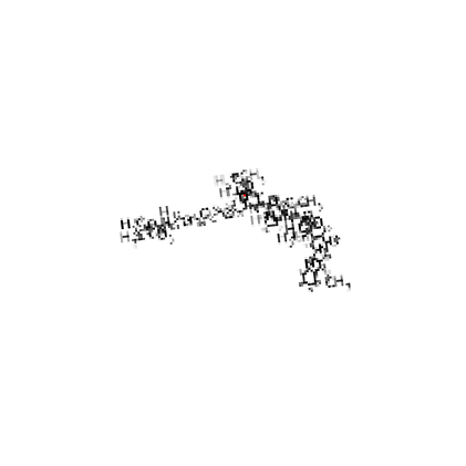 CCc1c2c(nc3ccccc13)-c1cc3c(c(=O)n1C2)COC(=O)[C@@]3(CC)OC(=O)[C@@H](NC(=O)[C@@H]1CCCN1C(=O)[C@H](CC(=O)OC(C)(C)C)NC(=O)CCOCCOCCOCCNC(=O)OC(C)(C)C)C(C)C